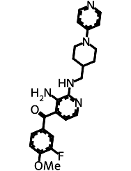 COc1ccc(C(=O)c2ccnc(NCC3CCN(c4ccncc4)CC3)c2N)cc1F